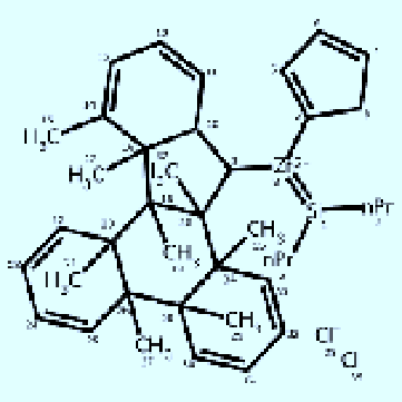 CCC[Si](CCC)=[Zr+2]([C]1=CC=CC1)[CH]1C2C=CC=C(C)C2(C)C2(C)C3(C)C=CC=CC3(C)C3(C)C=CC=CC3(C)C12C.[Cl-].[Cl-]